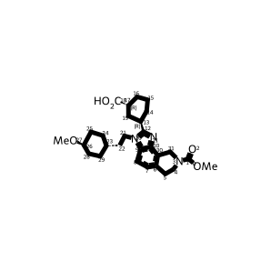 COC(=O)N1CCc2ccc3c(nc([C@@H]4CCC[C@@H](C(=O)O)C4)n3CC[C@H]3CC[C@H](OC)CC3)c2C1